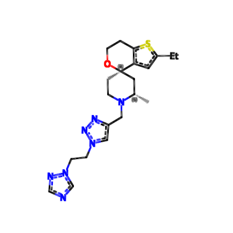 CCc1cc2c(s1)CCO[C@@]21CCN(Cc2cn(CCn3cncn3)nn2)[C@@H](C)C1